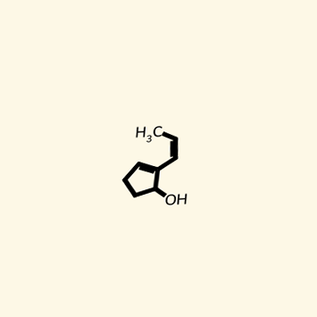 C/C=C\C1=CCCC1O